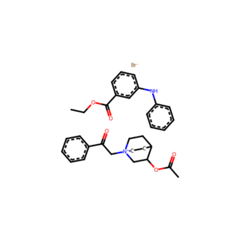 CC(=O)OC1C[N+]2(CC(=O)c3ccccc3)CCC1CC2.CCOC(=O)c1cccc(Nc2ccccc2)c1.[Br-]